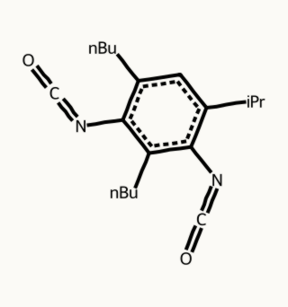 CCCCc1cc(C(C)C)c(N=C=O)c(CCCC)c1N=C=O